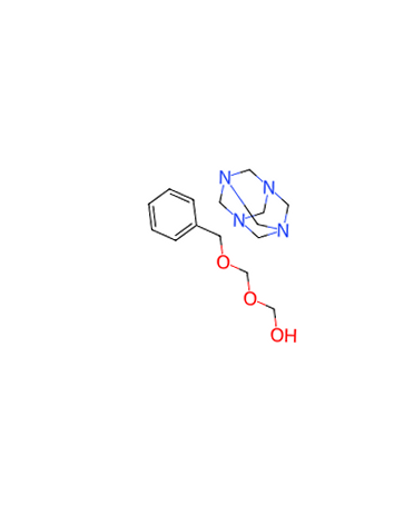 C1N2CN3CN1CN(C2)C3.OCOCOCc1ccccc1